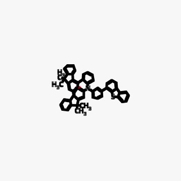 CC1(C)c2ccccc2-c2ccc(N(c3cccc(-c4cccc5c4sc4ccccc45)c3)c3ccccc3-c3cccc4c3-c3ccccc3C4(C)C)cc21